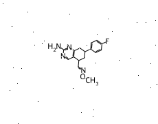 CON=CC1CC(c2ccc(F)cc2)Cc2nc(N)ncc21